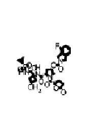 C=C1CC(NC(=O)[C@@H]2CC(OC(=O)N3Cc4cccc(F)c4C3)CN2C(=O)[C@@H]2CCC(=O)O2)(C(=O)NS(=O)(=O)C2CC2)C1